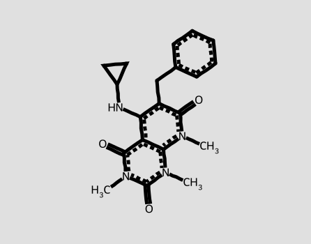 Cn1c(=O)c2c(NC3CC3)c(Cc3ccccc3)c(=O)n(C)c2n(C)c1=O